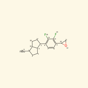 CCCCC1CCC2C(c3ccc(C4CO4)c(F)c3F)CCC12